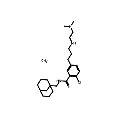 CN(C)CCNCCCc1ccc(Cl)c(C(=O)NCC23CCCC(CCC2)C3)c1.[CH2]